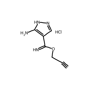 C#CCOC(=N)c1cn[nH]c1N.Cl